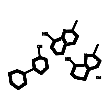 Cc1ccc2cccc(O)c2n1.Cc1ccc2cccc(O)c2n1.Oc1cccc(-c2ccccc2)c1.[Ga]